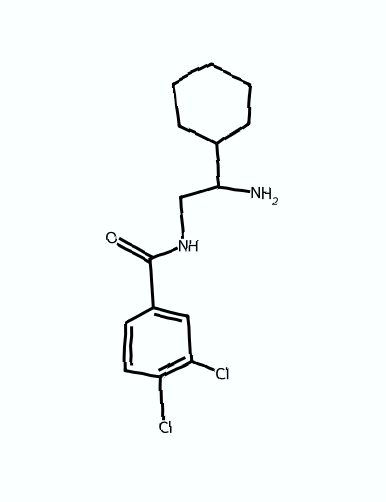 NC(CNC(=O)c1ccc(Cl)c(Cl)c1)C1CCCCC1